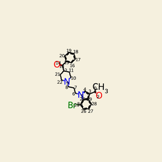 CC(=O)c1cn(CCCN2CCC(C(=O)c3ccccc3)CC2)c2c(Br)cccc12